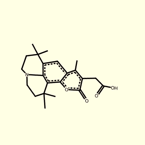 Cc1c(CC(=O)O)c(=O)oc2c3c4c(cc12)C(C)(C)CCN4CCC3(C)C